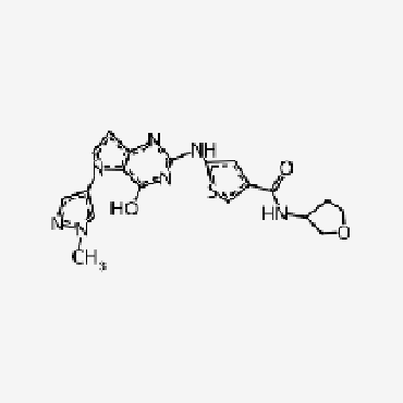 Cn1cc(-n2ccc3nc(Nc4cc(C(=O)NC5CCOC5)cs4)nc(O)c32)cn1